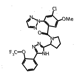 COc1cc(C(=O)N2CCCC2c2nnc(-c3ccccc3OC(F)(F)F)[nH]2)c(-n2nccn2)cc1Cl